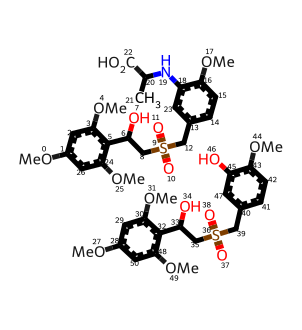 COc1cc(OC)c(C(O)CS(=O)(=O)Cc2ccc(OC)c(NC(C)C(=O)O)c2)c(OC)c1.COc1cc(OC)c(C(O)CS(=O)(=O)Cc2ccc(OC)c(O)c2)c(OC)c1